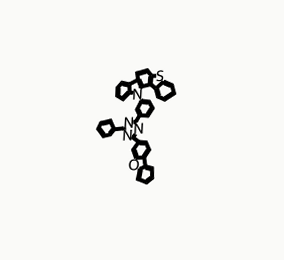 c1ccc(-c2nc(-c3cccc(-n4c5ccccc5c5ccc6sc7ccccc7c6c54)c3)nc(-c3ccc4c(c3)oc3ccccc34)n2)cc1